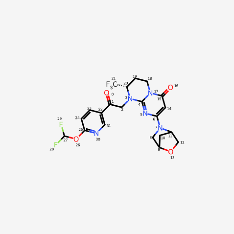 O=C(CN1c2nc(N3CC4CC3CO4)cc(=O)n2CC[C@H]1C(F)(F)F)c1ccc(OC(F)F)nc1